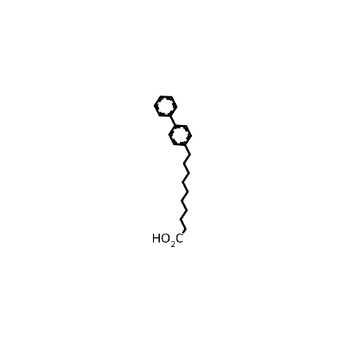 O=C(O)CCCCCCCCCc1ccc(-c2ccccc2)cc1